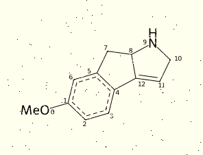 COc1ccc2c(c1)CC1NCC=C21